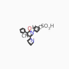 CS(=O)(=O)O.N#Cc1ccccc1-c1cc(-c2ccccn2)cn(-c2ccccc2)c1=O